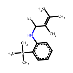 CCC(Nc1ccccc1[Si](C)(C)C)C(C)=C(C)[SiH3]